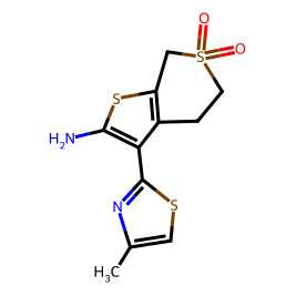 Cc1csc(-c2c(N)sc3c2CCS(=O)(=O)C3)n1